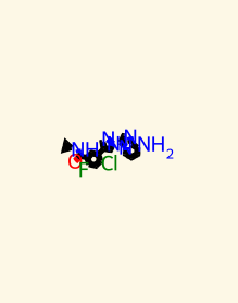 Nc1cccn2c(-n3cc(-c4cc(C(=O)NC5CC5)c(F)cc4Cl)cn3)cnc12